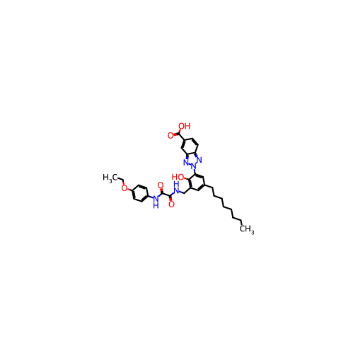 CCCCCCCCc1cc(CNC(=O)C(=O)Nc2ccc(OCC)cc2)c(O)c(-n2nc3ccc(C(=O)O)cc3n2)c1